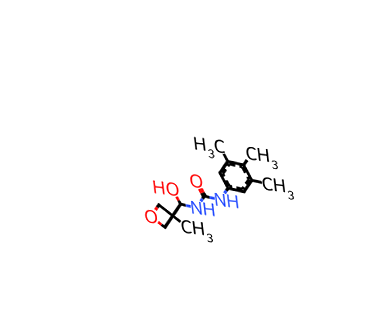 Cc1cc(NC(=O)NC(O)C2(C)COC2)cc(C)c1C